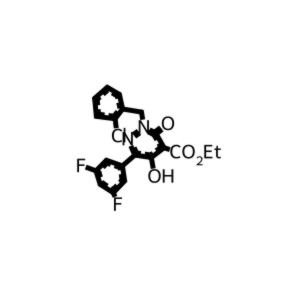 CCOC(=O)c1c(O)c(-c2cc(F)cc(F)c2)nn(Cc2ccccc2Cl)c1=O